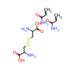 C=CC(N)=O.C=CC(N)=O.NC(CSSCC(N)C(=O)O)C(=O)O